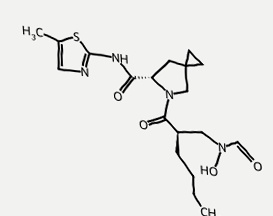 CCCC[C@H](CN(O)C=O)C(=O)N1CC2(CC2)C[C@H]1C(=O)Nc1ncc(C)s1